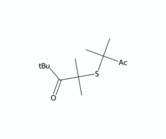 CC(=O)C(C)(C)SC(C)(C)C(=O)C(C)(C)C